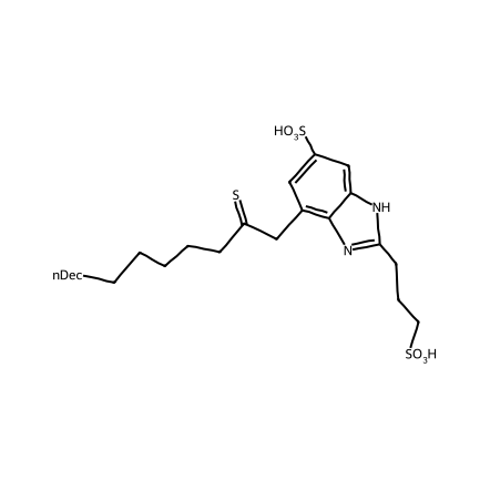 CCCCCCCCCCCCCCCC(=S)Cc1cc(S(=O)(=O)O)cc2[nH]c(CCCS(=O)(=O)O)nc12